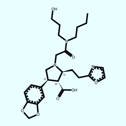 CCCCN(CCCO)C(=O)CN1C[C@H](c2ccc3c(c2)OCO3)[C@@H](C(=O)O)[C@@H]1CCc1ncco1